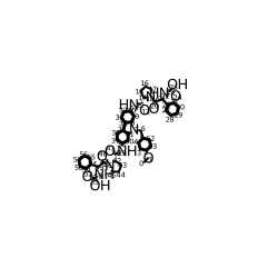 COc1ccc(Cn2c3cc(NC(=O)[C@@H]4CCCN4C(=O)C(NC(=O)O)c4ccccc4)ccc3c3ccc(NC(=O)[C@@H]4CCCN4C(=O)C(NC(=O)O)c4ccccc4)cc32)cc1